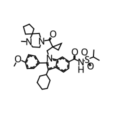 COc1ccc(-c2c(C3CCCCC3)c3ccc(C(=O)NS(=O)(=O)C(C)C)cc3n2CC2(C(=O)N3CCN(C)C4(CCCC4)C3)CC2)cc1